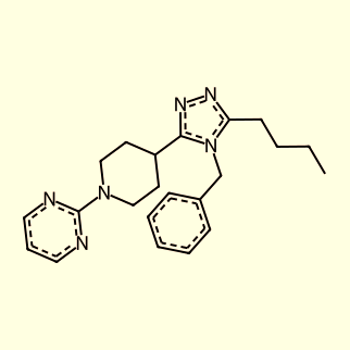 CCCCc1nnc(C2CCN(c3ncccn3)CC2)n1Cc1ccccc1